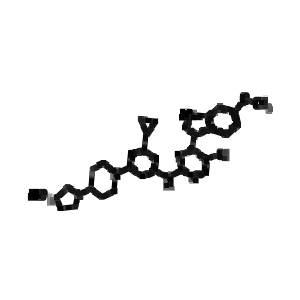 COc1ccc2c(-c3nc(Nc4cc(C5CC5)cc(N5CCC(N6CC[C@H](O)C6)CC5)c4)ncc3Cl)c[nH]c2c1